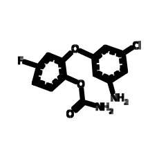 NC(=O)Oc1ccc(F)cc1Oc1cc(N)cc(Cl)c1